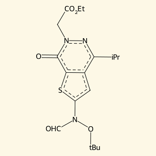 CCOC(=O)Cn1nc(C(C)C)c2cc(N(C=O)OC(C)(C)C)sc2c1=O